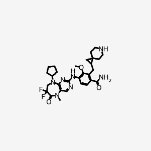 COc1c(Nc2ncc3c(n2)N(C2CCCC2)CC(F)(F)C(=O)N3C)ccc(C(N)=O)c1CC1CC12CCNCC2